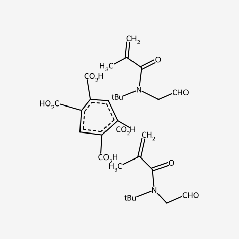 C=C(C)C(=O)N(CC=O)C(C)(C)C.C=C(C)C(=O)N(CC=O)C(C)(C)C.O=C(O)c1cc(C(=O)O)c(C(=O)O)cc1C(=O)O